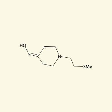 CSCCN1CCC(=NO)CC1